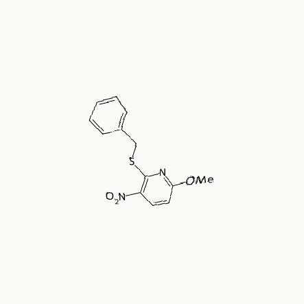 COc1ccc([N+](=O)[O-])c(SCc2ccccc2)n1